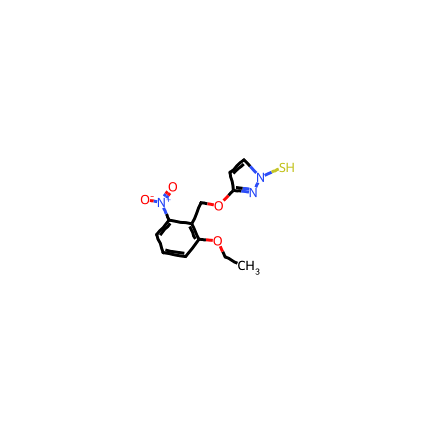 CCOc1cccc([N+](=O)[O-])c1COc1ccn(S)n1